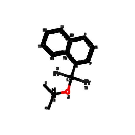 CC(C)[Si](O[SiH](C)C)(c1cccc2ccccc12)C(C)C